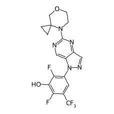 Oc1c(F)c(-n2ncc3nc(N4CCOCC45CC5)ncc32)cc(C(F)(F)F)c1F